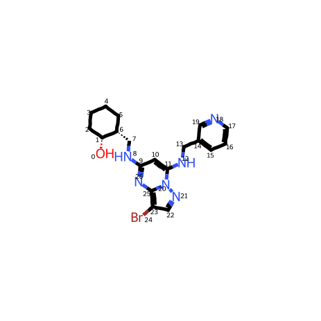 O[C@@H]1CCCC[C@@H]1CNc1cc(NCc2cccnc2)n2ncc(Br)c2n1